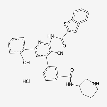 Cl.N#Cc1c(-c2cccc(C(=O)NC3CCCNC3)c2)cc(-c2ccccc2O)nc1NC(=O)c1cc2ccccc2s1